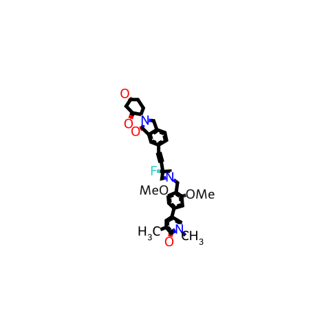 COc1cc(-c2cc(C)c(=O)n(C)c2)cc(OC)c1CN1CC(F)(C#Cc2ccc3c(c2)C(=O)N(C2CCC(=O)CC2=O)C3)C1